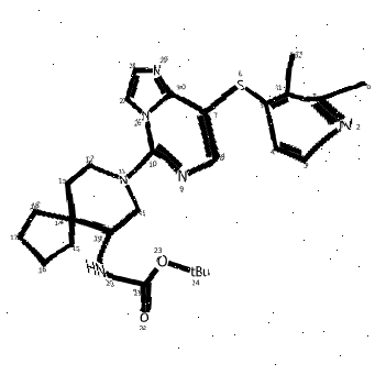 Cc1nccc(Sc2cnc(N3CCC4(CCCC4)C(NC(=O)OC(C)(C)C)C3)n3ccnc23)c1C